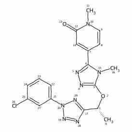 C[C@@H](Oc1nnc(-c2ccn(C)c(=O)c2)n1C)c1nnn(-c2cccc(Cl)c2)n1